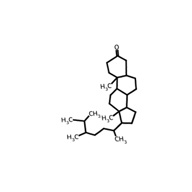 CC(C)C(C)CCC(C)C1CCC2C3CCC4CC(=O)CCC4(C)C3CCC12C